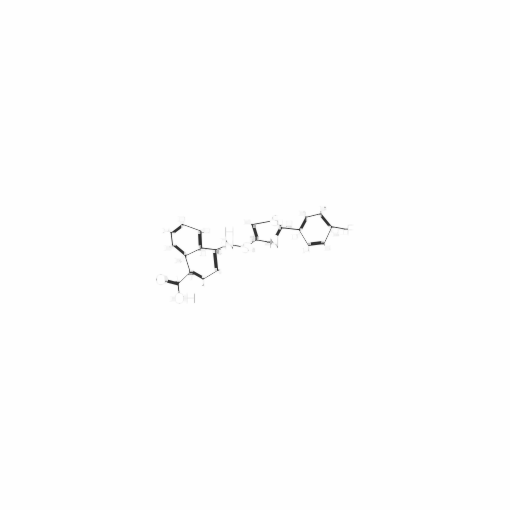 O=C(O)c1ccc(NSc2csc(-c3ccc(F)cc3)n2)c2ccccc12